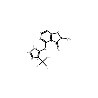 CN1Cc2cccc(Oc3[nH]ncc3C(F)(F)F)c2C1=O